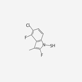 Cc1c(F)n(S)c2ccc(Cl)c(F)c12